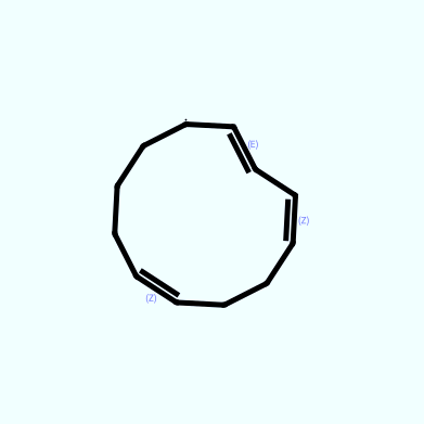 [CH]1/C=C/C=C\CC/C=C\CCC1